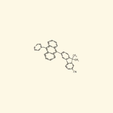 CC1(C)c2ccc(-c3c4ccccc4c(-c4ccccc4)c4ccccc34)cc2-c2ccc(C#N)cc21